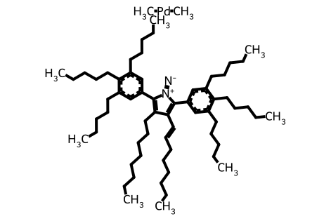 CCCCCCC=CC1=C(c2cc(CCCCC)c(CCCCC)c(CCCCC)c2)[N+](=[N-])C(c2cc(CCCCC)c(CCCCC)c(CCCCC)c2)=C1CCCCCCCC.[CH3][Pd][CH3]